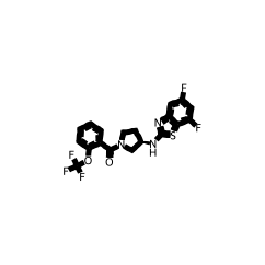 O=C(c1ccccc1OC(F)(F)F)N1CC[C@@H](Nc2nc3cc(F)cc(F)c3s2)C1